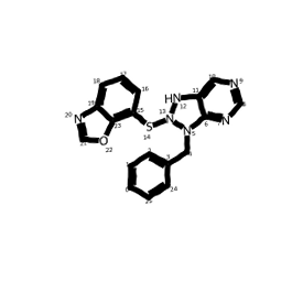 c1ccc(CN2c3ncncc3NN2Sc2cccc3ncoc23)cc1